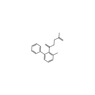 C=C(C)CCC(=C)c1c(C)cccc1-c1ccccc1